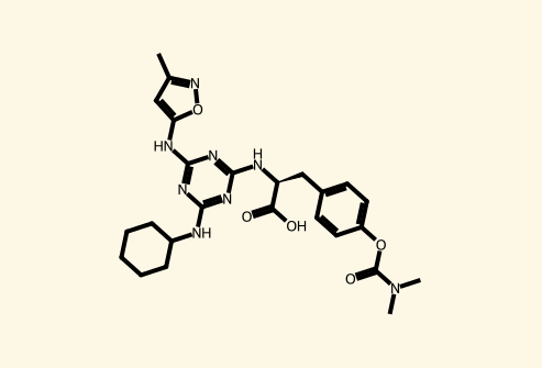 Cc1cc(Nc2nc(NC3CCCCC3)nc(N[C@@H](Cc3ccc(OC(=O)N(C)C)cc3)C(=O)O)n2)on1